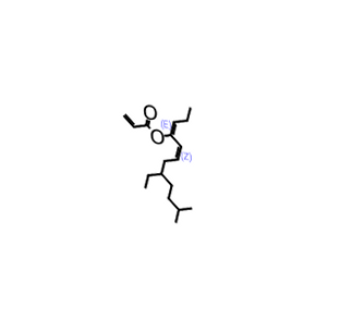 C=CC(=O)OC(/C=C\CC(CC)CCC(C)C)=C/CC